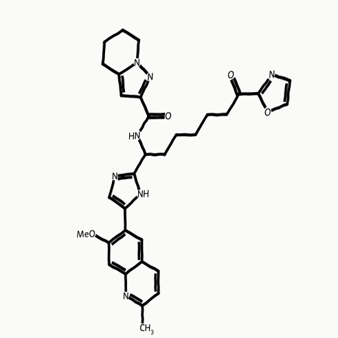 COc1cc2nc(C)ccc2cc1-c1cnc(C(CCCCCC(=O)c2ncco2)NC(=O)c2cc3n(n2)CCCC3)[nH]1